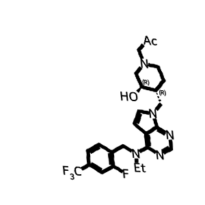 CCN(Cc1ccc(C(F)(F)F)cc1F)c1ncnc2c1ccn2C[C@H]1CCN(CC(C)=O)C[C@@H]1O